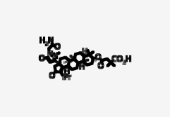 CC(C)C1=C2[C@H]3CC[C@@H]4[C@@]5(C)CC[C@H](OC(=O)CC(C)(C)C(=O)O)C(C)(C)[C@@H]5CC[C@@]4(C)[C@]3(C)CC[C@@]2(c2cc(=O)n(CC(N)=O)n2C)CC1=O